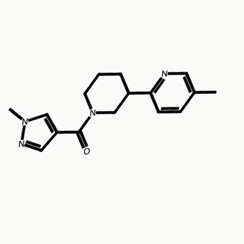 Cc1ccc(C2CCCN(C(=O)c3cnn(C)c3)C2)nc1